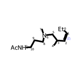 CC/C=C\C(C)CN(C)CCCNC(C)=O